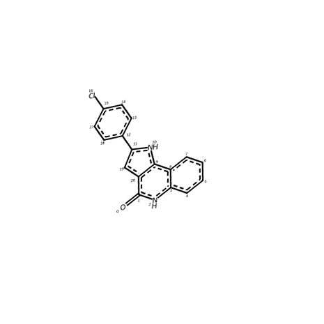 O=c1[nH]c2ccccc2c2[nH]c(-c3ccc(Cl)cc3)cc12